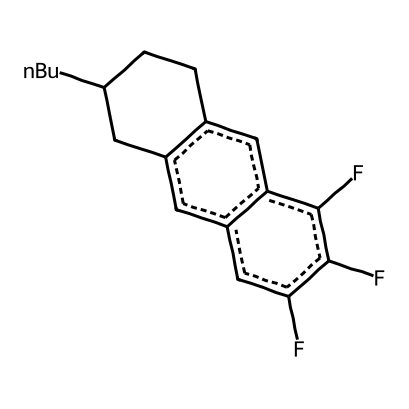 CCCCC1CCc2cc3c(F)c(F)c(F)cc3cc2C1